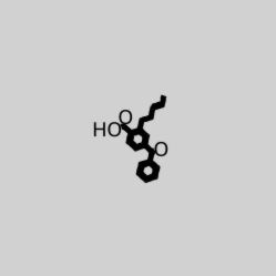 CC=CCCc1cc(C(=O)c2ccccc2)ccc1C(=O)O